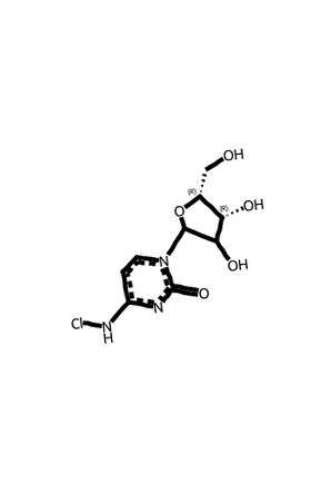 O=c1nc(NCl)ccn1C1O[C@H](CO)[C@H](O)C1O